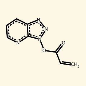 C=CC(=O)On1nnc2cccnc21